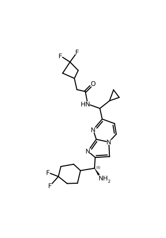 N[C@H](c1cn2ccc(C(NC(=O)CC3CC(F)(F)C3)C3CC3)nc2n1)C1CCC(F)(F)CC1